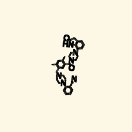 Cc1cc(C)c(C(=O)N2CCN(c3cccc4c3NC(=O)C4)CC2)cc1CN1CCN(c2ccccc2C#N)CC1